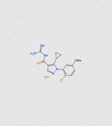 COc1ccc(Cl)c(-n2ncc(C(=O)NC(=N)N)c2C2CC2)c1.Cl